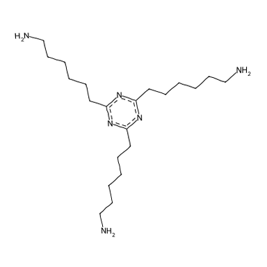 NCCCCCCc1nc(CCCCCCN)nc(CCCCCCN)n1